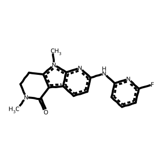 CN1CCc2c(c3ccc(Nc4cccc(F)n4)nc3n2C)C1=O